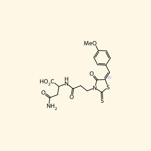 COc1ccc(/C=C2/SC(=S)N(CCC(=O)NC(CC(N)=O)C(=O)O)C2=O)cc1